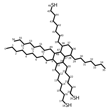 CCCCCCCCCC1C(CCCCCCCS)C(CCCCCCS)C2C(CCCCCCC)CCC(CCCCCCCS)C2C1CCCCCCCC